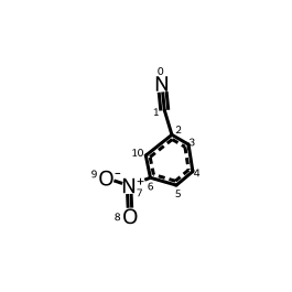 N#Cc1[c]ccc([N+](=O)[O-])c1